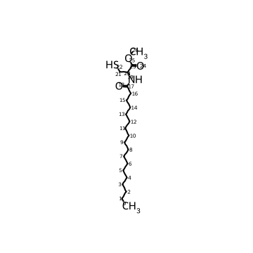 CCCCCCCCCCCCCCCCCC(=O)NC(CS)C(=O)OC